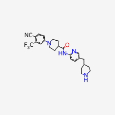 N#Cc1ccc(N2CCC(C(=O)Nc3ccc(CC4CCNCC4)cn3)CC2)cc1C(F)(F)F